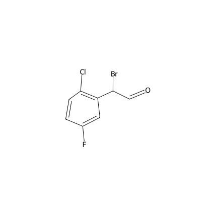 O=CC(Br)c1cc(F)ccc1Cl